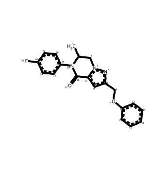 CC1Cn2nc(COc3ccccc3)cc2C(=O)N1c1ccc(F)cc1